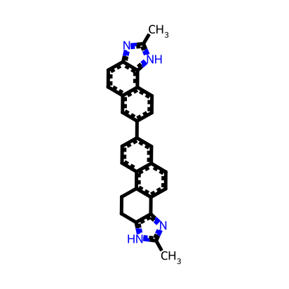 Cc1nc2c([nH]1)CCc1c-2ccc2cc(-c3ccc4c(ccc5nc(C)[nH]c54)c3)ccc12